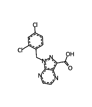 O=C(O)c1nn(Cc2ccc(Cl)cc2Cl)c2nccnc12